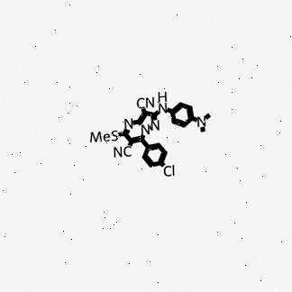 CSc1nc2c(C#N)c(Nc3ccc(N(C)C)cc3)nn2c(-c2ccc(Cl)cc2)c1C#N